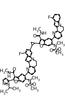 CNC(=O)c1c(-c2ccnn2C(C)C)oc2cc(N(C)S(C)(=O)=O)c(-c3ccc4c(n3)-c3cc5c(F)cc(C6CC6c6oc7cc(N(C)S(C)(=O)=O)c(-c8ccc9c(n8)-c8cc%10c(F)cccc%10n8CC9)cc7c6C(=O)NC)cc5n3CC4)cc12